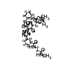 CNC(=O)CCNC(=O)c1cccc(-c2nnn(C(C(=O)OCc3ccccc3)C(=O)C(N)CC(=O)OC(C)(C)C)n2)c1